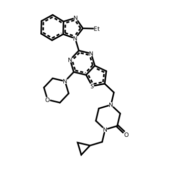 CCc1nc2ccccc2n1-c1nc(N2CCOCC2)c2sc(CN3CCN(CC4CC4)C(=O)C3)cc2n1